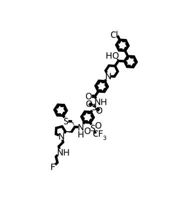 O=C(NS(=O)(=O)c1ccc(N[C@@H](CSc2ccccc2)C[C@@H]2CCCN2CCNCCF)c(S(=O)(=O)C(F)(F)F)c1)c1ccc(N2CCC([C@@H](O)c3ccccc3-c3ccc(Cl)cc3)CC2)cc1